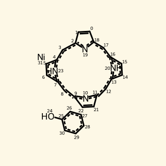 C1=Cc2cc3ccc(cc4nc(cc5ccc(cc1n2)[nH]5)C=C4)[nH]3.Oc1ccccc1.[Ni]